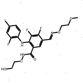 COCCO/N=C/c1cc(C(=O)NOCCO)c(Nc2ccc(I)cc2F)c(F)c1F